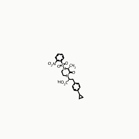 C[C@H]1C(=O)N([C@@H](Cc2ccc(C3CC3)cc2)C(=O)O)CCN1S(=O)(=O)c1ccccc1[N+](=O)[O-]